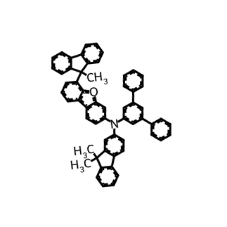 CC1(C)c2ccccc2-c2ccc(N(c3cc(-c4ccccc4)cc(-c4ccccc4)c3)c3ccc4c(c3)oc3c(C5(C)c6ccccc6-c6ccccc65)cccc34)cc21